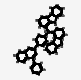 c1ccc(-c2cc(-c3ccc(N(c4cccc5c4sc4ccccc45)c4cccc5oc6ccccc6c45)cc3)cc3ccccc23)cc1